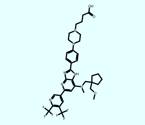 COCC1(CN(C)c2cc(-c3cnc(C(F)(F)F)c(C(F)(F)F)c3)nc3nc(-c4ccc(N5CCN(CCCC(=O)O)CC5)cc4)[nH]c23)CCCC1